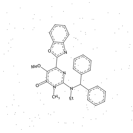 CCN(c1nc(-c2nc3ccccc3o2)c(OC)c(=O)n1C)C(c1ccccc1)c1ccccc1